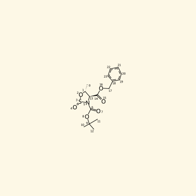 C[C@H]1OS(=O)N(C(=O)OC(C)(C)C)[C@@H]1C(=O)OCc1ccccc1